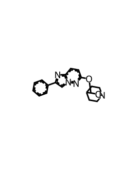 c1ccc(-c2cn3nc(OC4CN5CCC4CC5)ccc3n2)cc1